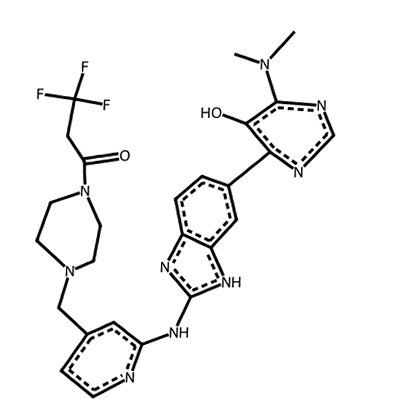 CN(C)c1ncnc(-c2ccc3nc(Nc4cc(CN5CCN(C(=O)CC(F)(F)F)CC5)ccn4)[nH]c3c2)c1O